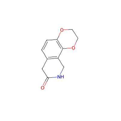 O=C1Cc2ccc3c(c2CN1)OCCO3